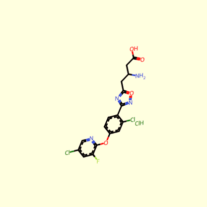 Cl.NC(CC(=O)O)Cc1nc(-c2ccc(Oc3ncc(Cl)cc3F)cc2Cl)no1